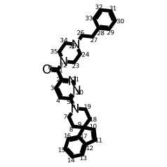 O=C(c1ccc(N2CCC3(C=Cc4ccccc43)CC2)nn1)N1CCN(CCc2ccccc2)CC1